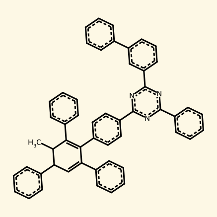 CC1C(c2ccccc2)=C(c2ccc(-c3nc(-c4ccccc4)nc(-c4cccc(-c5ccccc5)c4)n3)cc2)C(c2ccccc2)=CC1c1ccccc1